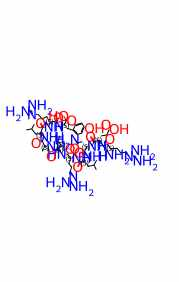 CC[C@H](C)[C@H](NC(=O)[C@H](CCCN=C(N)N)NC(=O)[C@H](CC(C)C)NC(=O)[C@H](CC(N)=O)NC(=O)[C@H](CCC(=O)O)NC(=O)[C@@H](N)CCCN=C(N)N)C(=O)N[C@@H](C)C(=O)N[C@@H](CC(C)C)C(=O)N[C@@H](CCCN=C(N)N)C(=O)N[C@@H](Cc1ccc(O)cc1)C(=O)O